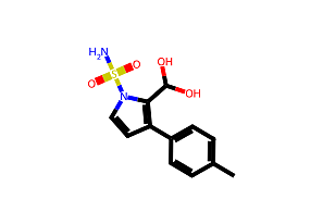 Cc1ccc(-c2ccn(S(N)(=O)=O)c2C(O)O)cc1